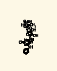 CC(P(=O)(O)O)S(=O)(=O)C[C@H]1O[C@@H](n2nnc3c(NC4CCCC4)nc(Cl)nc32)[C@H](O)[C@@H]1O